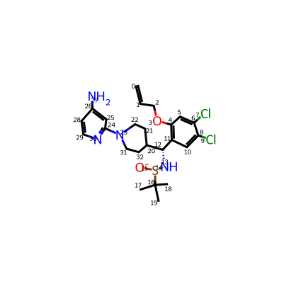 C=CCOc1cc(Cl)c(Cl)cc1[C@H](N[S+]([O-])C(C)(C)C)C1CCN(c2cc(N)ccn2)CC1